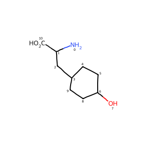 NC(CC1CCC(O)CC1)C(=O)O